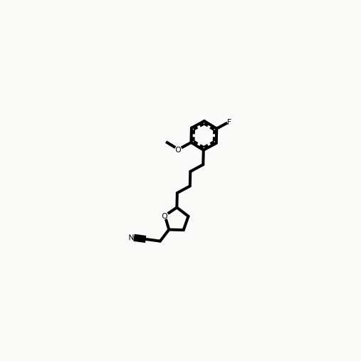 COc1ccc(F)cc1CCCCC1CCC(CC#N)O1